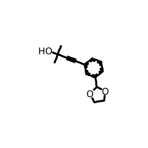 CC(C)(O)C#Cc1cccc(C2OCCO2)c1